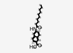 CCCCCCCCCC(=O)Nc1ccc2cc(C(=O)O)ccc2c1